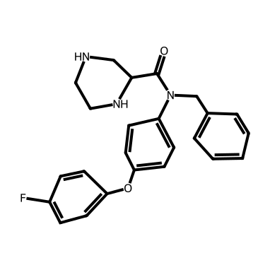 O=C(C1CNCCN1)N(Cc1ccccc1)c1ccc(Oc2ccc(F)cc2)cc1